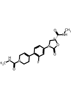 CNC(=O)[C@H]1CN(c2ccc(C3=CCN(C(=O)NC)CC3)c(F)c2)C(=O)O1